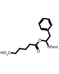 CCCCCC(Cc1ccccc1)OC(=O)CCCCC(=O)O